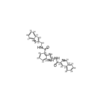 O=C(Nc1nc2c(C(=O)NCc3cc4ccccc4s3)cccc2[nH]1)c1cc2ccccc2cn1